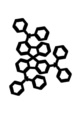 c1ccc(N(c2ccccc2)c2ccc3c(c2)C2(c4ccccc4-c4c(N(c5ccccc5)c5ccccc5)cccc42)c2cccc(N(c4ccccc4)c4ccccc4)c2-3)cc1